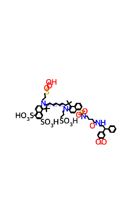 CN(CCCC(=O)NCCC(c1ccccc1)c1ccc2c(c1)OCO2)S(=O)(=O)c1cccc2c3c(ccc12)[N+](CCCS(=O)(=O)O)=C(/C=C/C=C/C=C1/N(CCCSOOO)c2ccc4c(S(=O)(=O)O)cc(S(=O)(=O)O)cc4c2C1(C)C)C3(C)C